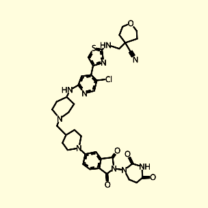 N#CC1(CNc2nc(-c3cc(NC4CCN(CC5CCN(c6ccc7c(c6)C(=O)N(N6CCC(=O)NC6=O)C7=O)CC5)CC4)ncc3Cl)cs2)CCOCC1